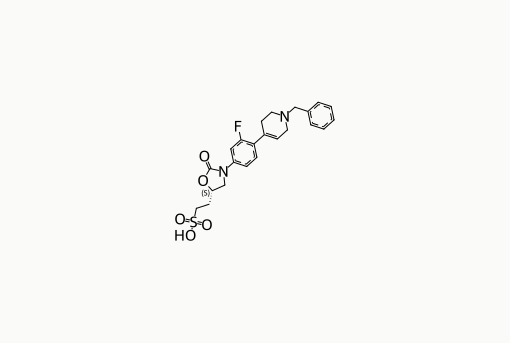 O=C1O[C@@H](CCS(=O)(=O)O)CN1c1ccc(C2=CCN(Cc3ccccc3)CC2)c(F)c1